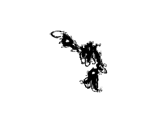 COc1ccc(C(=O)CN(C)Cc2sc3c(=O)c(C(=O)NCc4ccc(Cl)cc4)cn(C)c3c2C)cc1OC